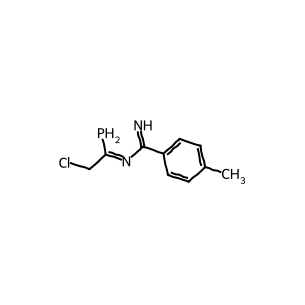 Cc1ccc(C(=N)/N=C(\P)CCl)cc1